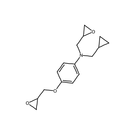 c1cc(N(CC2CC2)CC2CO2)ccc1OCC1CO1